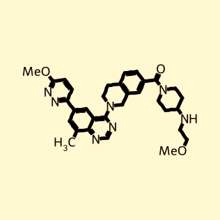 COCCNC1CCN(C(=O)c2ccc3c(c2)CN(c2ncnc4c(C)cc(-c5ccc(OC)nn5)cc24)CC3)CC1